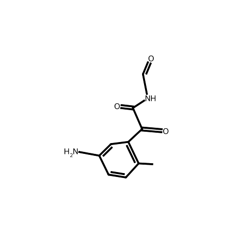 Cc1ccc(N)cc1C(=O)C(=O)NC=O